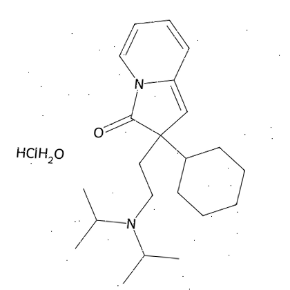 CC(C)N(CCC1(C2CCCCC2)C=C2C=CC=CN2C1=O)C(C)C.Cl.O